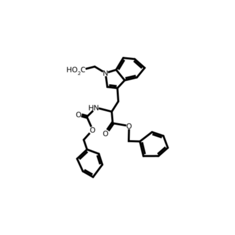 O=C(O)Cn1cc(CC(NC(=O)OCc2ccccc2)C(=O)OCc2ccccc2)c2ccccc21